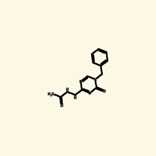 CC(=O)NNc1ncn(Cc2ccccc2)c(=O)n1